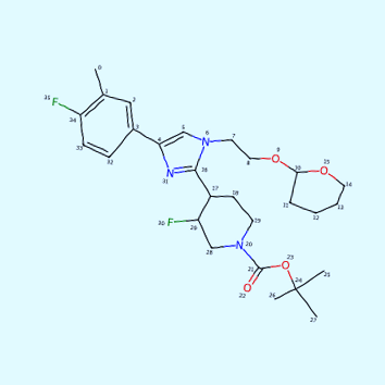 Cc1cc(-c2cn(CCOC3CCCCO3)c(C3CCN(C(=O)OC(C)(C)C)CC3F)n2)ccc1F